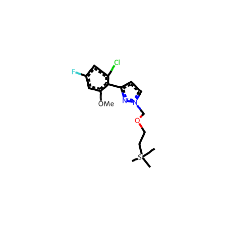 COc1cc(F)cc(Cl)c1-c1ccn(COCC[Si](C)(C)C)n1